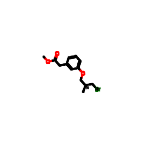 COC(=O)Cc1cccc(OC[C@H](C)CBr)c1